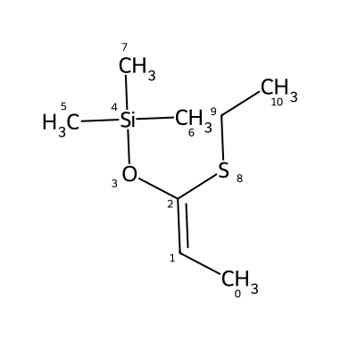 C/C=C(/O[Si](C)(C)C)SCC